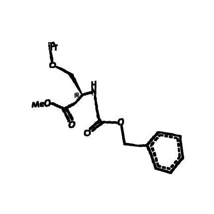 COC(=O)[C@@H](COC(C)C)NC(=O)OCc1ccccc1